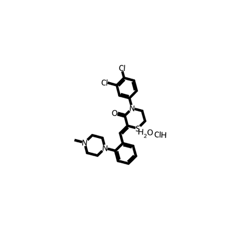 CN1CCN(c2ccccc2C=C2SCCN(c3ccc(Cl)c(Cl)c3)C2=O)CC1.Cl.O